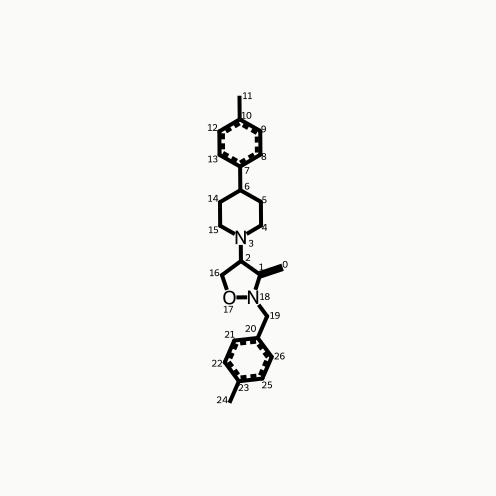 C=C1C(N2CCC(c3ccc(C)cc3)CC2)CON1Cc1ccc(C)cc1